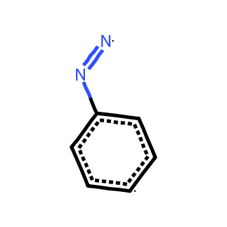 [N]=Nc1cc[c]cc1